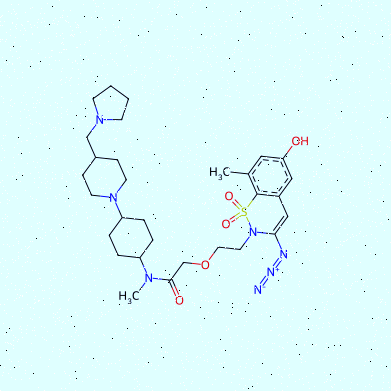 Cc1cc(O)cc2c1S(=O)(=O)N(CCOCC(=O)N(C)C1CCC(N3CCC(CN4CCCC4)CC3)CC1)C(N=[N+]=[N-])=C2